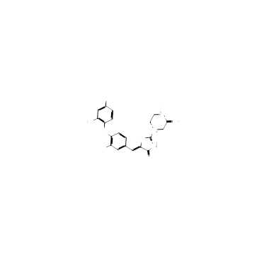 O=C1CN(C2=NC(=O)/C(=C/c3ccc(Oc4ccc(Cl)cc4C(F)(F)F)c(F)c3)S2)CCN1